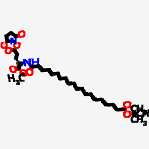 COC(=O)[C@H](CCC(=O)ON1C(=O)CCC1=O)NC(=O)CCCCCCCCCCCCCCCCCCC(=O)OC(C)(C)C